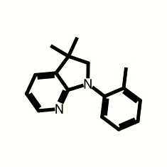 Cc1ccccc1N1CC(C)(C)c2cccnc21